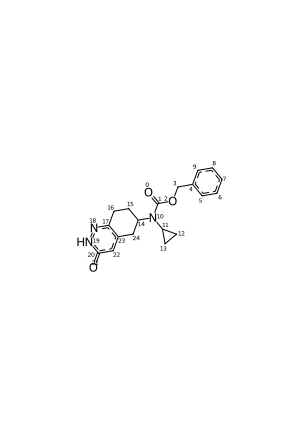 O=C(OCc1ccccc1)N(C1CC1)C1CCc2n[nH]c(=O)cc2C1